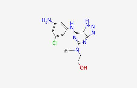 CC(C)N(CCO)c1nc(Nc2cc(N)cc(Cl)c2)c2[nH]nnc2n1